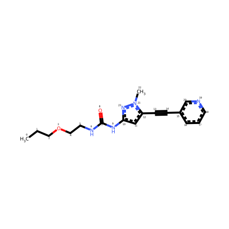 CCCOCCNC(=O)Nc1cc(C#Cc2cccnc2)n(C)n1